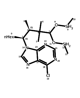 CCCCCC[C@@H]([C@@H](C)C(C)(C)C(O[SiH2]C)O[SiH2]C)n1cnc2c(Cl)ncnc21